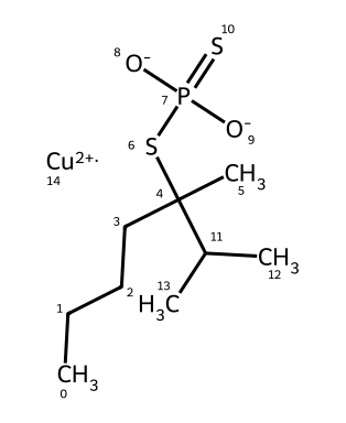 CCCCC(C)(SP([O-])([O-])=S)C(C)C.[Cu+2]